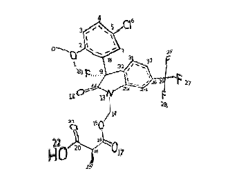 COc1ccc(Cl)cc1[C@]1(F)C(=O)N(COC(=O)[C@@H](C)C(=O)O)c2cc(C(F)(F)F)ccc21